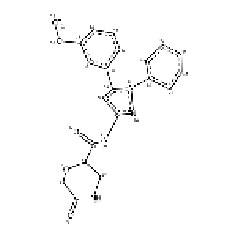 O=C1COC(C(=O)Nc2cc(-c3cccc(OC(F)(F)F)c3)n(-c3ccccc3)n2)CN1